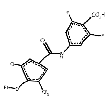 CCOc1c(Cl)cc(C(=O)Nc2cc(F)c(C(=O)O)c(F)c2)cc1C(F)(F)F